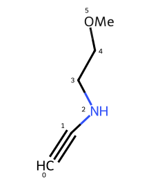 C#CNCCOC